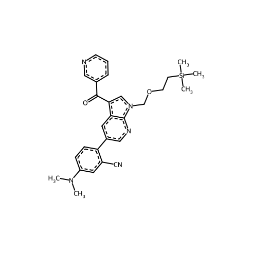 CN(C)c1ccc(-c2cnc3c(c2)c(C(=O)c2cccnc2)cn3COCC[Si](C)(C)C)c(C#N)c1